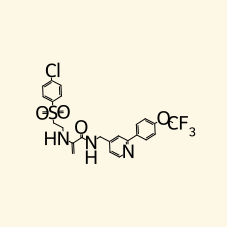 C=C(NCCS(=O)(=O)c1ccc(Cl)cc1)C(=O)NCc1ccnc(-c2ccc(OC(F)(F)F)cc2)c1